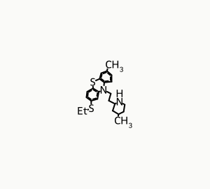 CCSc1ccc2c(c1)N(CCC1CC(C)CCN1)c1ccc(C)cc1S2